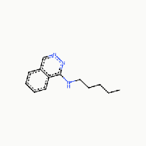 CCCCCNc1nncc2ccccc12